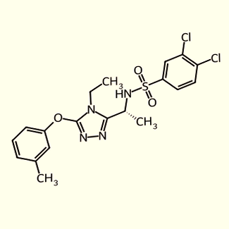 CCn1c(Oc2cccc(C)c2)nnc1[C@@H](C)NS(=O)(=O)c1ccc(Cl)c(Cl)c1